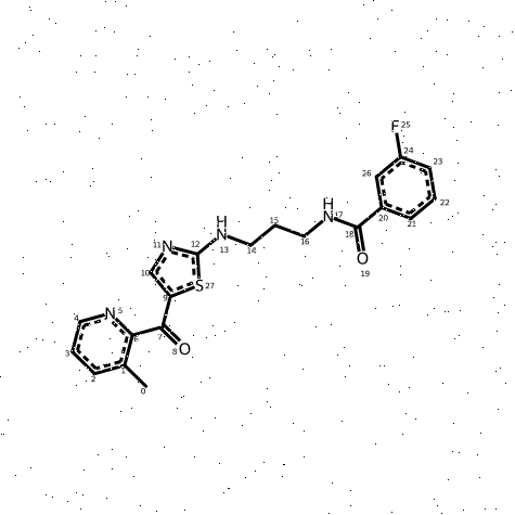 Cc1cccnc1C(=O)c1cnc(NCCCNC(=O)c2cccc(F)c2)s1